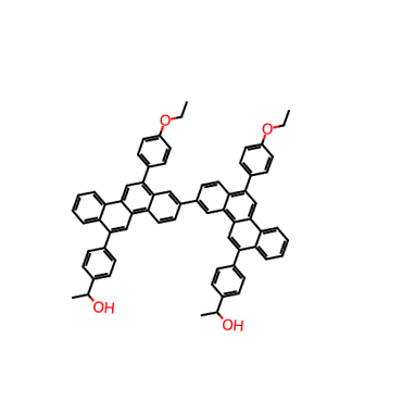 CCOc1ccc(-c2cc3c4ccccc4c(-c4ccc(C(C)O)cc4)cc3c3ccc(-c4ccc5c(-c6ccc(OCC)cc6)cc6c7ccccc7c(-c7ccc(C(C)O)cc7)cc6c5c4)cc23)cc1